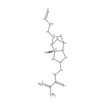 C=C(C)C(=O)OCC1CC2C3CC(COC=O)C(C3)[C@H]2C1